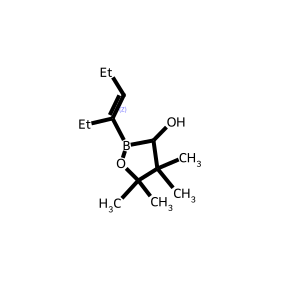 CC/C=C(\CC)B1OC(C)(C)C(C)(C)C1O